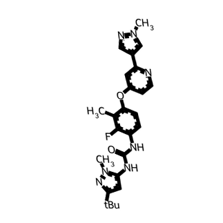 Cc1c(Oc2ccnc(-c3cnn(C)c3)c2)ccc(NC(=O)Nc2cc(C(C)(C)C)nn2C)c1F